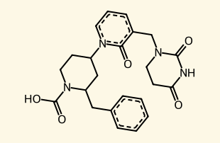 O=C1CCN(Cc2cccn(C3CCN(C(=O)O)C(Cc4ccccc4)C3)c2=O)C(=O)N1